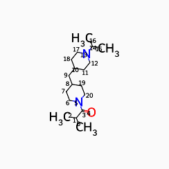 CC(C)C(=O)N1CCC(CC2CCN(C(C)C)CC2)CC1